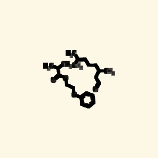 CC(C)=CCCC(C)CC=O.CC(C)C(=O)OCCOc1ccccc1